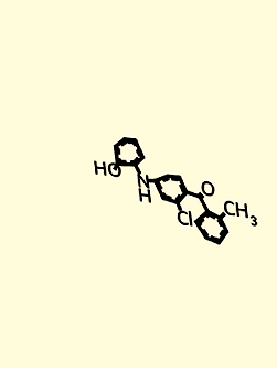 Cc1ccccc1C(=O)c1ccc(Nc2ccccc2O)cc1Cl